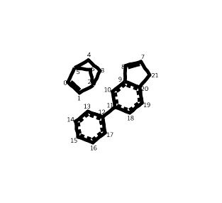 C1=CC2CCC1C2.C1=Cc2cc(-c3ccccc3)ccc2C1